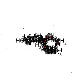 C=C1C[C@@H]2CC[C@]34OC5[C@@H]6O[C@H]7CC[C@H](CC(=O)O[C@@H]8[C@@H](C)[C@@H]9O[C@@H]%10C[C@]%11(C[C@@H]%12O[C@]%13(C[C@H](C)[C@@H]%14O[C@@H]%15[C@@H]([C@@H](O)CO)CO[C@@H]%15C[C@@H]%14O%13)C[C@H](C)[C@@H]%12O%11)O[C@@H]%10C[C@@H]9O[C@H]8C[C@H]8O[C@@H](CC[C@@H]1O2)C[C@@H](C)C8=C)O[C@@H]7[C@H](O3)[C@@H]6O[C@@]5(C)[C@H]4O